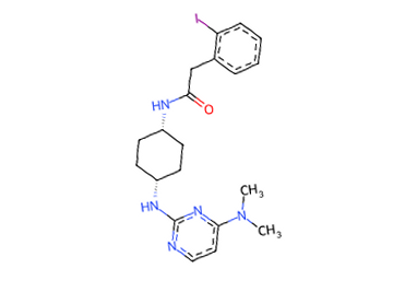 CN(C)c1ccnc(N[C@H]2CC[C@@H](NC(=O)Cc3ccccc3I)CC2)n1